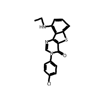 CCNc1cccc2sc3c(=O)n(-c4ccc(Cl)cc4)cnc3c12